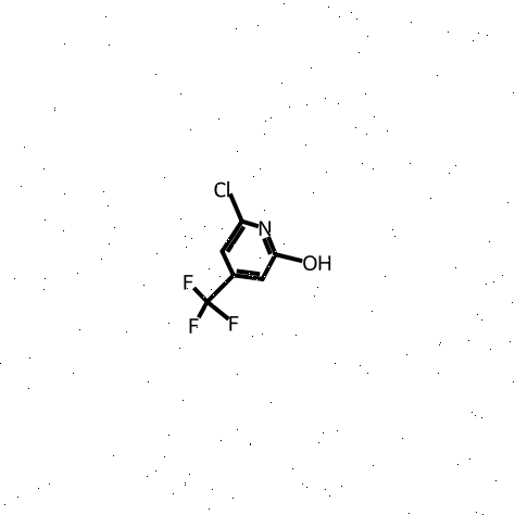 Oc1cc(C(F)(F)F)cc(Cl)n1